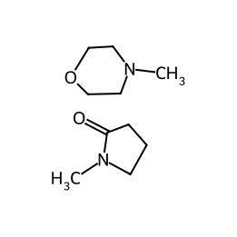 CN1CCCC1=O.CN1CCOCC1